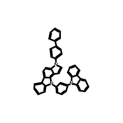 c1ccc(-c2ccc(-n3ccc4c3ccc3c5ccccc5n(-c5cccc(-n6c7ccccc7c7ccccc76)c5)c34)cc2)cc1